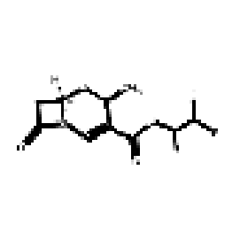 CC1S[C@@H]2CC(=O)N2C=C1C(=O)OC(F)C(F)F